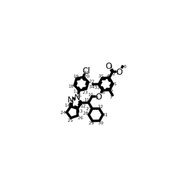 COC(=O)c1cc(C)c(OCC(c2c3c(nn2-c2ccc(Cl)cc2)CCC3)C2CCCCC2)c(C)c1